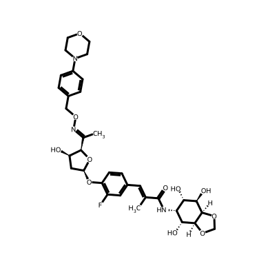 C/C(=C\c1ccc(O[C@H]2C[C@@H](O)[C@@H](/C(C)=N/OCc3ccc(N4CCOCC4)cc3)O2)c(F)c1)C(=O)N[C@@H]1[C@H](O)[C@@H](O)[C@H]2OCO[C@H]2[C@@H]1O